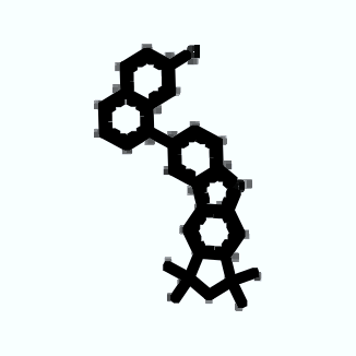 CC1(C)CC(C)(C)c2cc3c(cc21)oc1ccc(-c2cccc4ccc(Cl)cc24)cc13